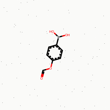 O=COc1ccc(B(O)O)cc1